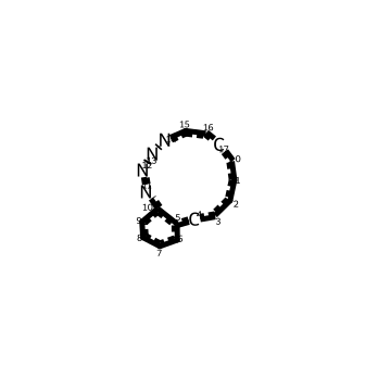 c1ccccc2ccccc2nnnnccc1